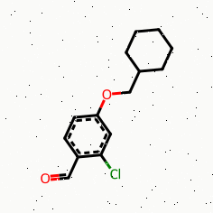 O=Cc1ccc(OCC2CCCCC2)cc1Cl